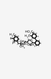 Cc1cc(-c2ccccc2[C@@H](C)OC[C@H](O)CNC(C)(C)Cc2ccc(C)c(F)c2F)ccc1C(=O)O